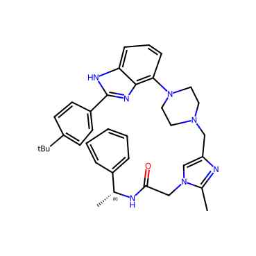 Cc1nc(CN2CCN(c3cccc4[nH]c(-c5ccc(C(C)(C)C)cc5)nc34)CC2)cn1CC(=O)N[C@H](C)c1ccccc1